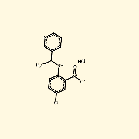 CC(Nc1ccc(Cl)cc1[N+](=O)[O-])c1cccnc1.Cl